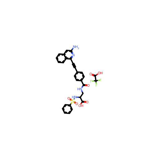 Nc1cc2ccccc2c(C#Cc2ccc(C(=O)NCC(NS(=O)(=O)c3ccccc3)C(=O)O)cc2)n1.O=C(O)C(F)(F)F